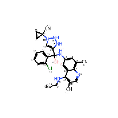 BC(Nc1cc(C#N)c2ncc(C#N)c(NCC(C)(C)C)c2c1)(C1=CN(C2(C#N)CC2)NN1)c1ccccc1Cl